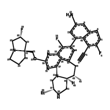 C#Cc1c(F)ccc2cc(N)cc(-c3cc4c5c(nc(OC[C@@]67CCCN6C[C@H](F)C7)nc5c3F)N3C[C@@H](CC)NC[C@@H]3[C@@H](C)C4)c12